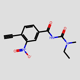 C#Cc1ccc(C(=O)NC(=O)N(C)CC)cc1[N+](=O)[O-]